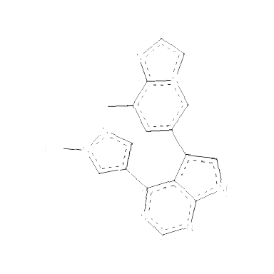 Cn1cc(-c2ncnc3[nH]cc(-c4cc(F)c5nccn5c4)c23)cn1